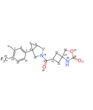 Cc1cc(C23CC2CN(C(=O)C2CC4(COC(=O)N4)C2)C3)ccc1C(F)(F)F